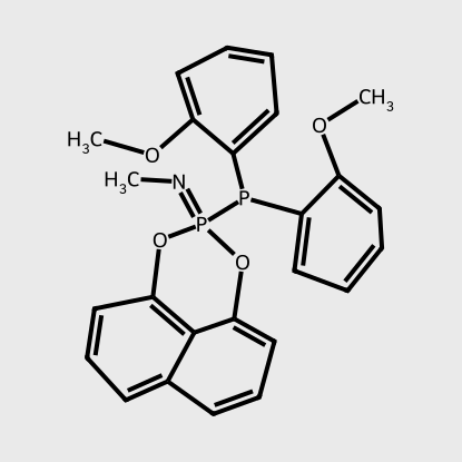 CN=P1(P(c2ccccc2OC)c2ccccc2OC)Oc2cccc3cccc(c23)O1